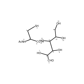 CC(=O)NC(CS)C(=O)O.O=CC(O)C(O)C(O)C(O)CO